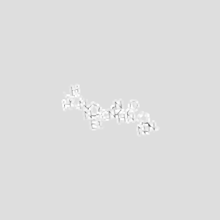 CCc1nc(N2C[C@@H]3[C@H](C)[C@@H]3C2)ccc1Cn1cnc(C(=O)N[C@@H]2CCc3c2ncn3C)c1